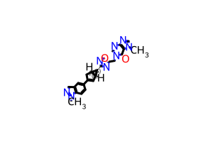 Cn1cnc2ncn(Cc3nc([C@@H]4[C@H]5C=C(c6ccc7c(cnn7C)c6)C[C@H]54)no3)c(=O)c21